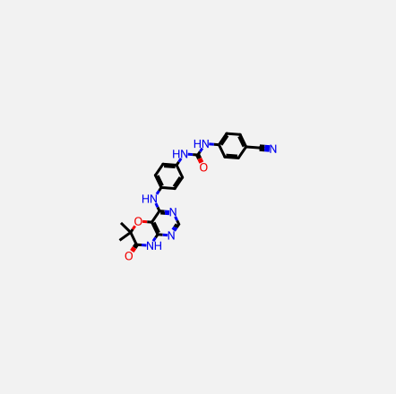 CC1(C)Oc2c(ncnc2Nc2ccc(NC(=O)Nc3ccc(C#N)cc3)cc2)NC1=O